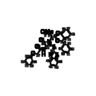 COC(C)=C(C(=O)OC(c1ccccc1)c1ccccc1)N1C(=O)C(NC(=O)COc2ccccc2)C1Sc1nc2ccccc2s1